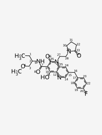 CCC(COC)NC(=O)c1c(O)c2ncc(Cc3ccc(F)cc3)cc2n(CCN2CCCC2=O)c1=O